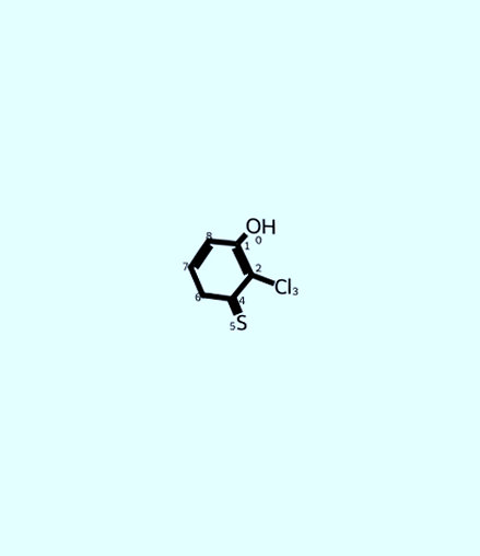 OC1=C(Cl)C(=S)CC=C1